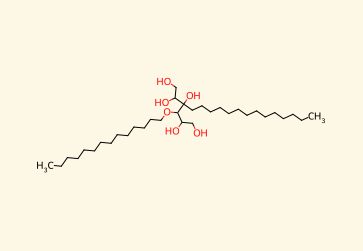 CCCCCCCCCCCCCCOC(C(O)CO)C(O)(CCCCCCCCCCCCCC)C(O)CO